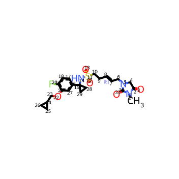 CN1C(=O)CN(C/C=C/CCS(=O)(=O)NC2(c3ccc(F)c(OCC4CC4)c3)CC2)C1=O